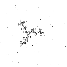 O=C(CI)NCCC(=O)NCC(=O)N1CN(C(=O)CNC(=O)CCNC(=O)CI)CN(C(=O)CNC(=O)CCNC(=O)CI)C1